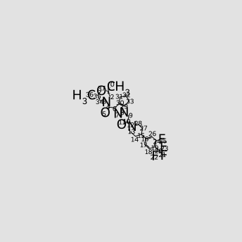 C[C@@H]1CN(C(=O)c2nn(CC(=O)N3CCC(c4ccc(C(F)(F)F)c(F)c4)CC3)c3c2CCC3)C[C@H](C)O1